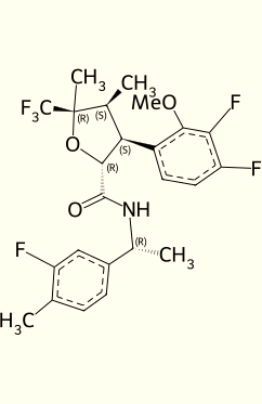 COc1c([C@H]2[C@H](C(=O)N[C@H](C)c3ccc(C)c(F)c3)O[C@@](C)(C(F)(F)F)[C@H]2C)ccc(F)c1F